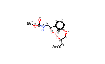 CC(=O)OC[C@@H]1COc2cccc3c2B(OC3CNC(=O)OC(C)(C)C)O1